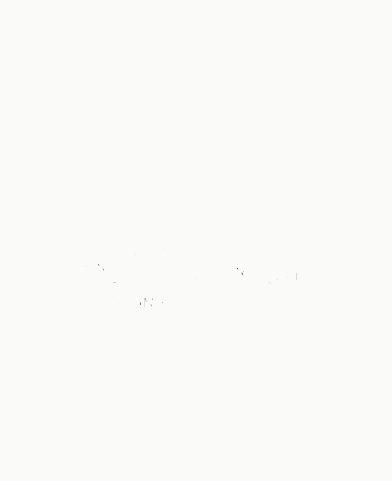 COS(=O)N1CCC(c2c[nH]c3c(C(N)=O)cc(Sc4ccc(F)cc4)cc23)CC1